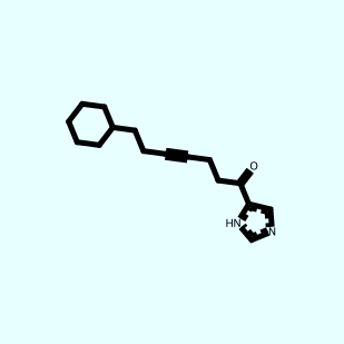 O=C(CCC#CCCC1CCCCC1)c1cnc[nH]1